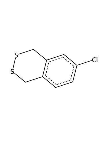 Clc1ccc2c(c1)CSSC2